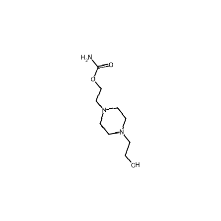 NC(=O)OCCN1CCN(CCO)CC1